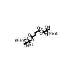 CCCCCC(C)(C#N)C(CC)(CC)OC(=O)CCC(=O)OC(CC)(CC)C(C)(C#N)CCCCC